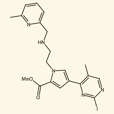 COC(=O)c1cc(-c2nc(I)ncc2C)cn1CCNCc1cccc(C)n1